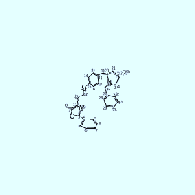 Cc1oc(-c2ccccc2)nc1CCOc1ccc(C[C@H]2C[C@H](C)CN2Cc2ccccc2)cc1